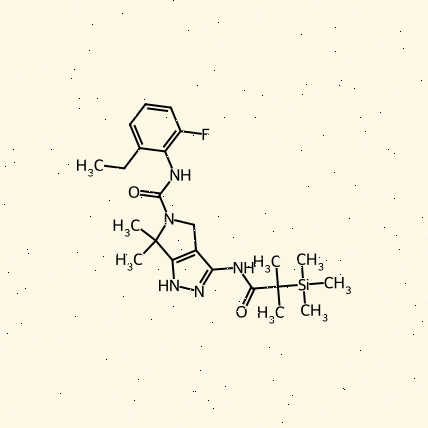 CCc1cccc(F)c1NC(=O)N1Cc2c(NC(=O)C(C)(C)[Si](C)(C)C)n[nH]c2C1(C)C